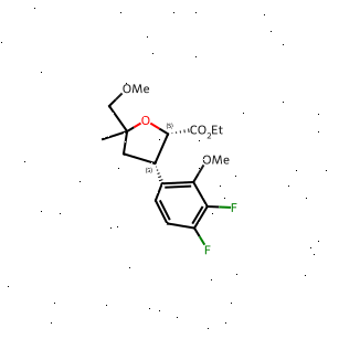 CCOC(=O)[C@H]1OC(C)(COC)C[C@H]1c1ccc(F)c(F)c1OC